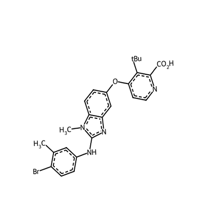 Cc1cc(Nc2nc3cc(Oc4ccnc(C(=O)O)c4C(C)(C)C)ccc3n2C)ccc1Br